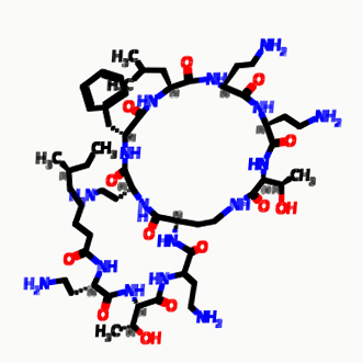 CC[C@H](C)CCCCC(=O)N[C@@H](CCN)C(=O)N[C@H](C(=O)NC(CCN)C(=O)N[C@H]1CCNC(=O)[C@H]([C@@H](C)O)NC(=O)[C@H](CCN)NC(=O)[C@H](CCN)NC(=O)[C@H](CC(C)C)NC(=O)[C@@H](Cc2ccccc2)NC(=O)[C@@H](CCN)NC1=O)[C@@H](C)O